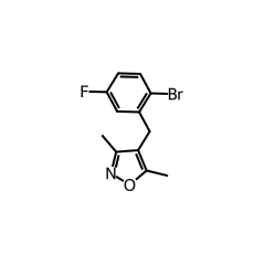 Cc1noc(C)c1Cc1cc(F)ccc1Br